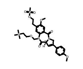 COc1ccc(C2=C[C@@H]3C(=O)N(COCC[Si](C)(C)C)c4cc(CCOS(C)(=O)=O)c(OC)cc4C(=O)N3C2)cc1